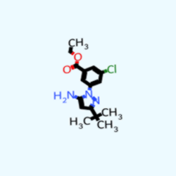 CCOC(=O)c1cc(Cl)cc(-n2nc(C(C)(C)C)cc2N)c1